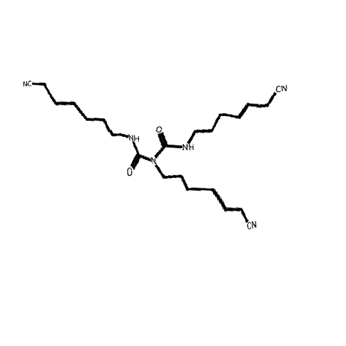 N#CCCCCCCNC(=O)N(CCCCCCC#N)C(=O)NCCCCCCC#N